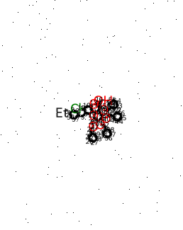 CCc1ccc(Cc2cc3c(cc2Cl)OC(C)(O)CC32O[C@H](COCc3ccccc3)[C@@H](OCc3ccccc3)[C@H](OCc3ccccc3)[C@H]2OCc2ccccc2)cc1